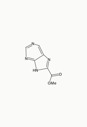 COC(=O)c1nc2cncnc2[nH]1